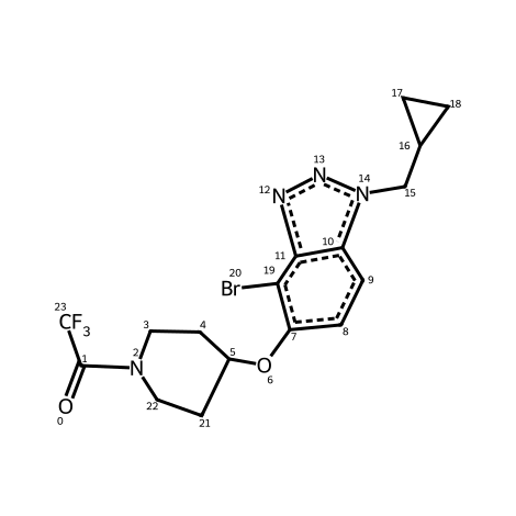 O=C(N1CCC(Oc2ccc3c(nnn3CC3CC3)c2Br)CC1)C(F)(F)F